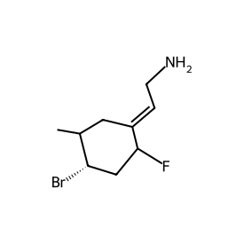 CC1C/C(=C\CN)C(F)C[C@@H]1Br